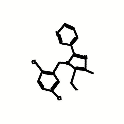 [CH2]Cc1c(C)nc(-c2cccnc2)n1Cc1cc(Cl)ccc1Cl